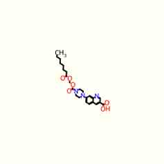 CCCCCCCC(=O)OCOC(=O)N1CCN(c2ccc3cc(C(=O)O)cnc3c2)CC1